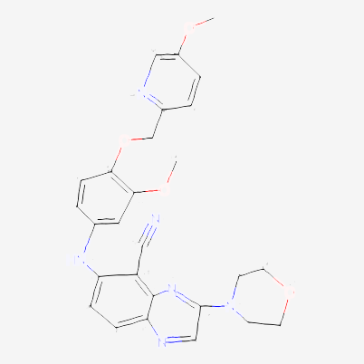 COc1ccc(COc2ccc(Nc3ccc4ncc(N5CCOCC5)nc4c3C#N)cc2OC)nc1